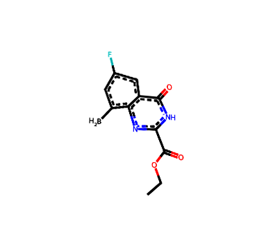 Bc1cc(F)cc2c(=O)[nH]c(C(=O)OCC)nc12